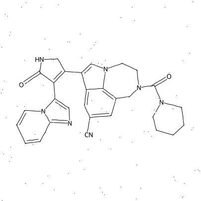 N#Cc1cc2c3c(c1)c(C1=C(c4cnc5ccccn45)C(=O)NC1)cn3CCN(C(=O)N1CCCCC1)C2